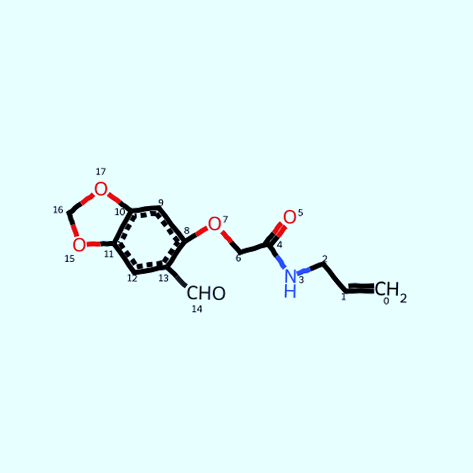 C=CCNC(=O)COc1cc2c(cc1C=O)OCO2